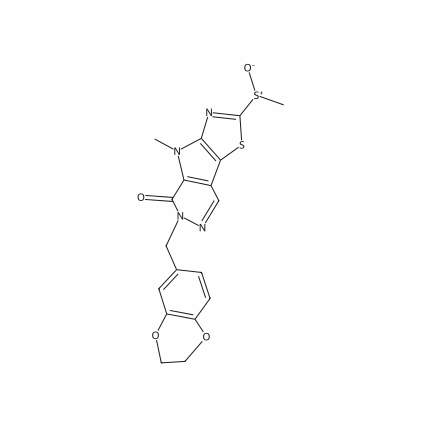 Cn1c2nc([S+](C)[O-])sc2c2cnn(Cc3ccc4c(c3)OCCO4)c(=O)c21